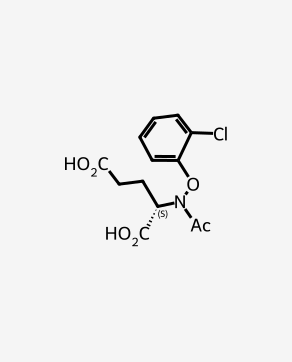 CC(=O)N(Oc1ccccc1Cl)[C@@H](CCC(=O)O)C(=O)O